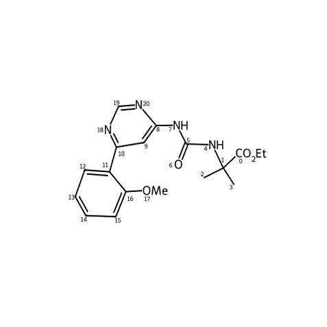 CCOC(=O)C(C)(C)NC(=O)Nc1cc(-c2ccccc2OC)ncn1